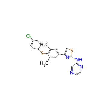 Cc1cc(-c2csc(Nc3cnccn3)n2)cc(C)c1Sc1ccc(Cl)cc1